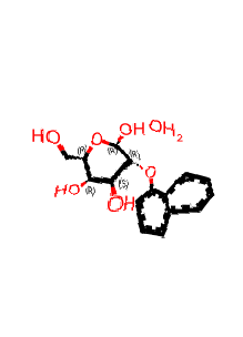 O.OC[C@H]1O[C@@H](O)[C@H](Oc2cccc3ccccc23)[C@@H](O)[C@H]1O